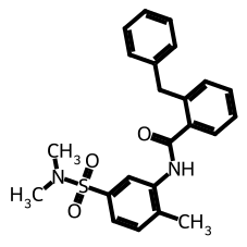 Cc1ccc(S(=O)(=O)N(C)C)cc1NC(=O)c1ccccc1Cc1ccccc1